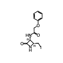 O=C(COc1ccccc1)N[C@@H]1C(=O)N[C@@H]1CI